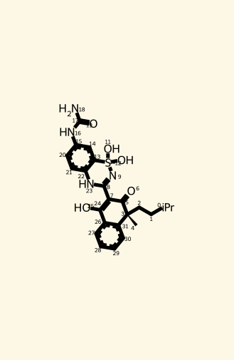 CC(C)CC[C@@]1(C)C(=O)C(C2=NS(O)(O)c3cc(NC(N)=O)ccc3N2)=C(O)c2ccccc21